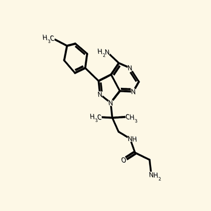 CC1C=CC(c2nn(C(C)(C)CNC(=O)CN)c3ncnc(N)c23)=CC1